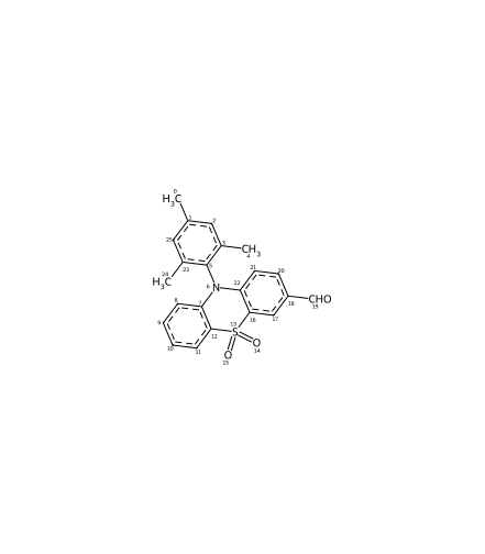 Cc1cc(C)c(N2c3ccccc3S(=O)(=O)c3cc(C=O)ccc32)c(C)c1